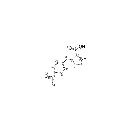 O=C(O)[C@H]1NCCC1Cc1ccc([N+](=O)[O-])cc1